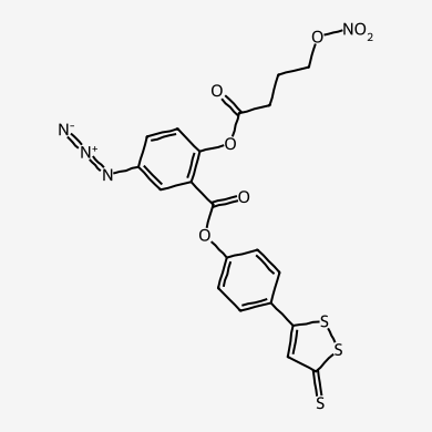 [N-]=[N+]=Nc1ccc(OC(=O)CCCO[N+](=O)[O-])c(C(=O)Oc2ccc(-c3cc(=S)ss3)cc2)c1